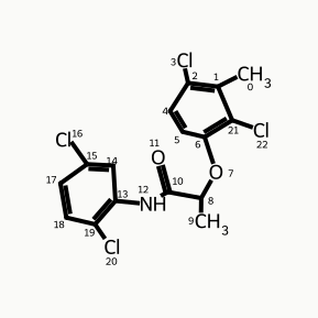 Cc1c(Cl)ccc(OC(C)C(=O)Nc2cc(Cl)ccc2Cl)c1Cl